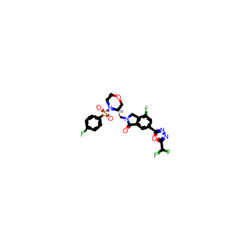 O=C1c2cc(-c3nnc(C(F)F)o3)cc(F)c2CN1C[C@H]1COCCN1S(=O)(=O)c1ccc(F)cc1